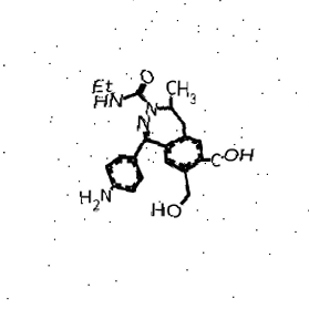 CCNC(=O)N1N=C(c2ccc(N)cc2)c2cc(CO)c(CO)cc2CC1C